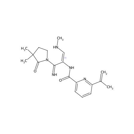 C=C(C)c1cccc(C(=O)N/C(=C/NC)C(=N)N2CCC(C)(C)C2=O)n1